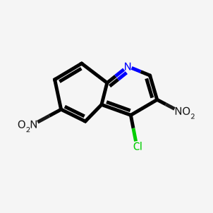 O=[N+]([O-])c1ccc2ncc([N+](=O)[O-])c(Cl)c2c1